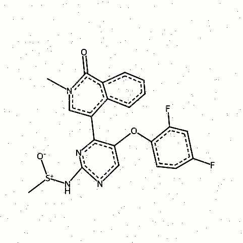 Cn1cc(-c2nc(N[S+](C)[O-])ncc2Oc2ccc(F)cc2F)c2ccccc2c1=O